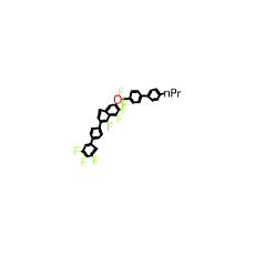 CCCc1ccc(-c2ccc(C(F)(F)Oc3cc4ccc(-c5ccc(-c6cc(F)c(F)c(F)c6)cc5)c(F)c4c(F)c3F)cc2)cc1